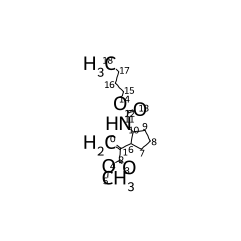 C=C(C(=O)OC)C1CCCC1NC(=O)OCCCC